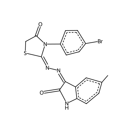 Cc1ccc2c(c1)C(=NN=C1SCC(=O)N1c1ccc(Br)cc1)C(=O)N2